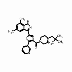 Cc1cc(C)c2[nH]nc(-c3nc(C(=O)N4CCN(CC(C)(C)C)CC4)c(-c4cccnc4)s3)c2c1